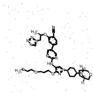 COCCOCCCOc1nn(C2CCC(N3[C@@H]4CC[C@H]3COC4)CC2)cc1Nc1ncc(-c2ccc(C#N)c(OC(C)Cn3cnnn3)c2)cn1